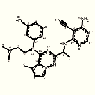 Cc1ccn2nc(C(C)Nc3ncnc(N)c3C#N)nc(N(CCN(C)C)c3cccc(O)c3)c12